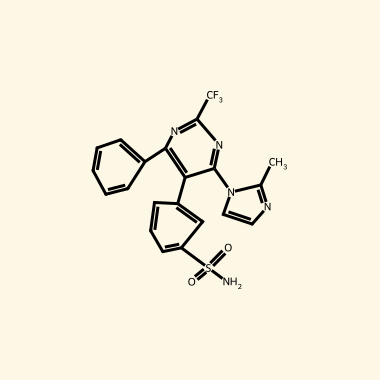 Cc1nccn1-c1nc(C(F)(F)F)nc(-c2ccccc2)c1-c1cccc(S(N)(=O)=O)c1